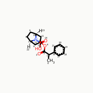 CC(C(=O)O[C@H]1C[C@H]2CC[C@@H](C1)N2C(=O)O)c1ccccc1